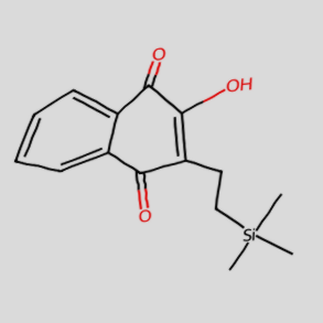 C[Si](C)(C)CCC1=C(O)C(=O)c2ccccc2C1=O